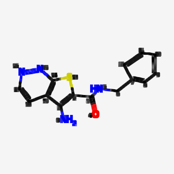 Nc1c(C(=O)NCc2ccccc2)sc2nnccc12